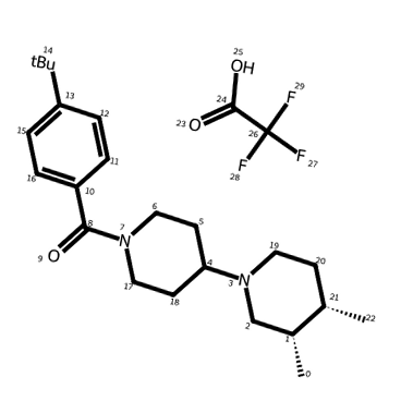 C[C@@H]1CN(C2CCN(C(=O)c3ccc(C(C)(C)C)cc3)CC2)CC[C@@H]1C.O=C(O)C(F)(F)F